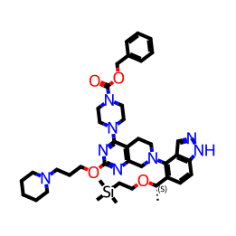 C[C@H](OCC[Si](C)(C)C)c1ccc2[nH]ncc2c1N1CCc2c(nc(OCCCN3CCCCC3)nc2N2CCN(C(=O)OCc3ccccc3)CC2)C1